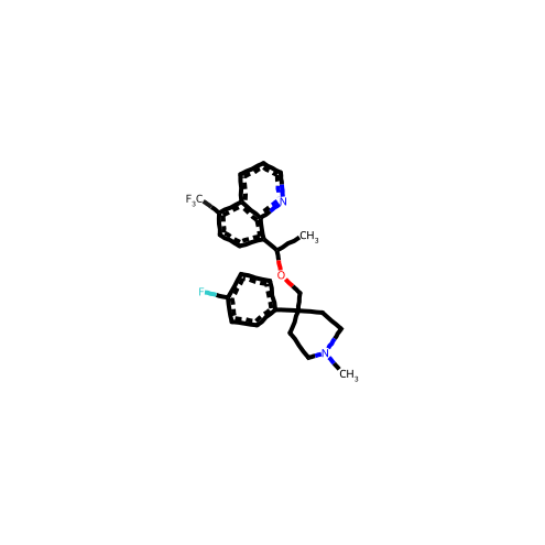 CC(OCC1(c2ccc(F)cc2)CCN(C)CC1)c1ccc(C(F)(F)F)c2cccnc12